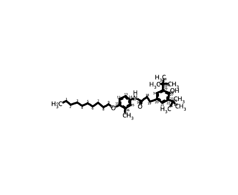 CCCCCCCCCCOc1ccc(NC(=O)CCc2cc(C(C)(C)C)c(O)c(C(C)(C)C)c2)cc1C